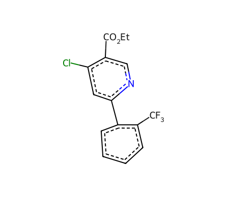 CCOC(=O)c1cnc(-c2ccccc2C(F)(F)F)cc1Cl